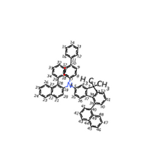 CC1(C)c2cc(N(c3ccc(-c4ccccc4)cc3)c3ccc4ccccc4c3-c3ccccc3)ccc2-c2c(-c3cccc4ccccc34)cccc21